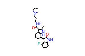 Cc1[nH]c2c(c1C(=O)NCCCN1CCCC1)CCC/C2=C1/C(=O)Nc2cccc(F)c21